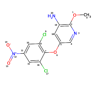 COc1ncc(Oc2c(Cl)cc([N+](=O)[O-])cc2Cl)cc1N